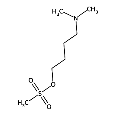 CN(C)CCCCOS(C)(=O)=O